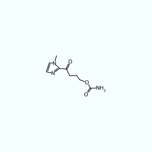 Cn1ccnc1C(=O)CCCOC(N)=O